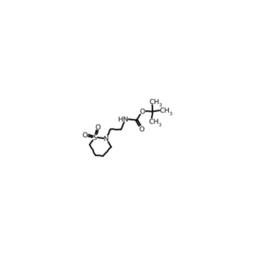 CC(C)(C)OC(=O)NCCN1CCCCS1(=O)=O